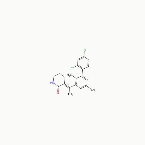 C/C(=C1/CCCNC1=O)c1cc(C#N)cc(-c2ccc(Cl)cc2F)c1C